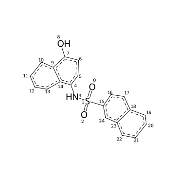 O=S(=O)(Nc1ccc(O)c2ccccc12)c1ccc2ccccc2c1